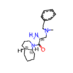 CN(Cc1ccccc1)C[C@@H](N)C(=O)N1CCC[C@H]2CCCC[C@@H]21